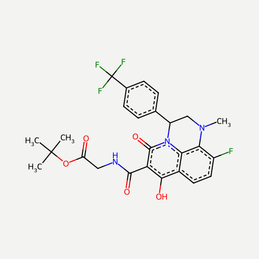 CN1CC(c2ccc(C(F)(F)F)cc2)n2c(=O)c(C(=O)NCC(=O)OC(C)(C)C)c(O)c3ccc(F)c1c32